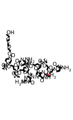 CC(C)N1CC(COP(=O)(N(C)C)N2CC(COP(=O)(N(C)C)N3CC(COP(=O)(N(C)C)N4CC(COP(=O)(N(C)C)N5CCN(C(=O)OCCOCCOCCO)CC5)OC(n5ccc(N)nc5=O)C4)OC(n4cnc5c(=O)[nH]c(N)nc54)C3)OC(n3cnc4c(=O)[nH]c(N)nc43)C2)OC(n2ccc(N)nc2=O)C1